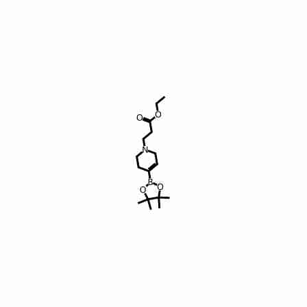 CCOC(=O)CCN1CC=C(B2OC(C)(C)C(C)(C)O2)CC1